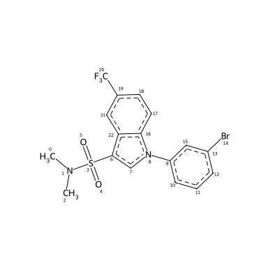 CN(C)S(=O)(=O)c1cn(-c2cccc(Br)c2)c2ccc(C(F)(F)F)cc12